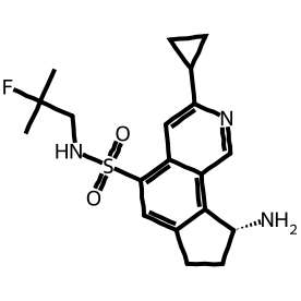 CC(C)(F)CNS(=O)(=O)c1cc2c(c3cnc(C4CC4)cc13)[C@H](N)CC2